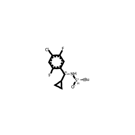 CC(C)(C)[S@+]([O-])N[C@@H](c1cc(F)c(Cl)cc1F)C1CC1